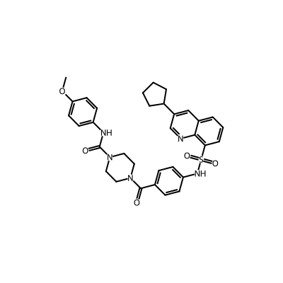 COc1ccc(NC(=O)N2CCN(C(=O)c3ccc(NS(=O)(=O)c4cccc5cc(C6CCCC6)cnc45)cc3)CC2)cc1